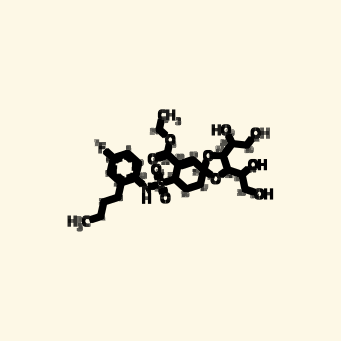 CCCCc1cc(F)ccc1NS(=O)(=O)C1CCC2(C=C1C(=O)OCC)OC(C(O)CO)C(C(O)CO)O2